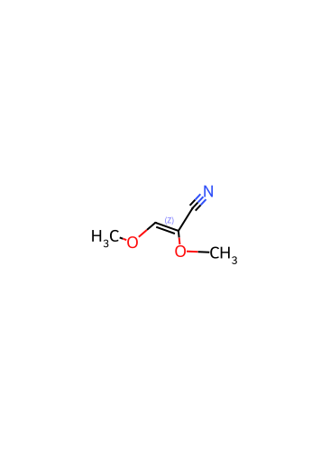 CO/C=C(/C#N)OC